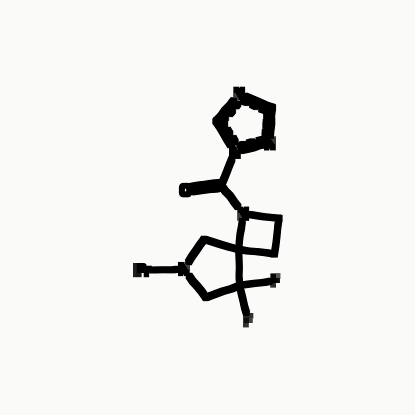 CC(C)N1CC(F)(F)C2(CCN2C(=O)n2cncn2)C1